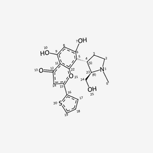 CN1CC[C@@H](c2c(O)cc(O)c3c(=O)cc(-c4cccs4)oc23)[C@@H]1CO